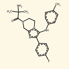 Cc1ccc(Nc2c(-c3ccc(F)cc3)nc3n2CCN(C(=O)C(C)(C)N)C3)cc1